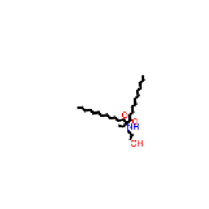 CCCCCCCCCCCC(=O)C(CC)(NCCCO)C(=O)CCCCCCCCCCC